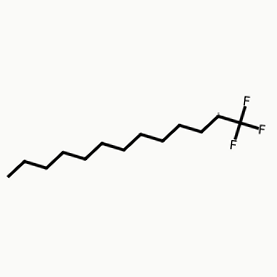 CCCCCCCCCCC[CH]C(F)(F)F